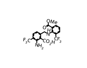 COC(=O)c1cccc(C(F)(F)F)c1NCc1ccc(C(F)(F)F)c(N)c1C(=O)O